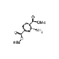 CCCCOC(=O)c1ccc(C(=O)OC)c(N)c1